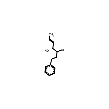 C/C=C/[C@@H](O)C(CC)CCc1ccccc1